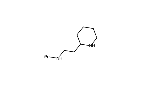 CC(C)NCCC1CCCCN1